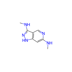 CNc1cc2[nH]nc(NC)c2cn1